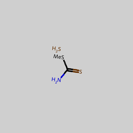 CSC(N)=S.S